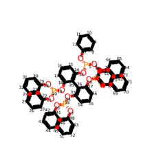 c1ccc(OP(Oc2ccccc2)Oc2cccc(OP(Oc3ccccc3)Oc3ccccc3)c2-c2c(OP(Oc3ccccc3)Oc3ccccc3)cccc2OP(Oc2ccccc2)Oc2ccccc2)cc1